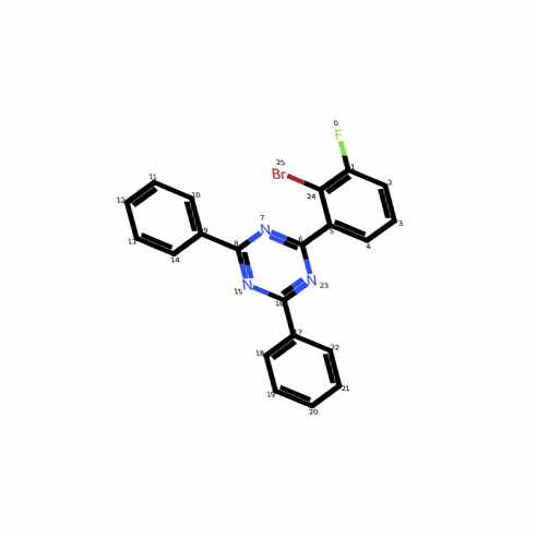 Fc1cccc(-c2nc(-c3ccccc3)nc(-c3ccccc3)n2)c1Br